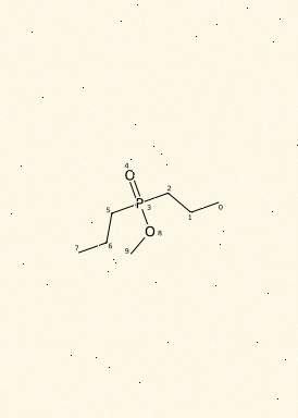 CCCP(=O)(CCC)OC